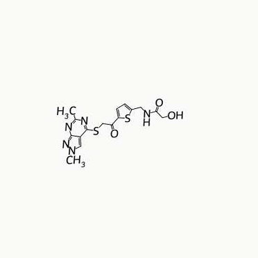 Cc1nc(SCC(=O)c2ccc(CNC(=O)CO)s2)c2cn(C)nc2n1